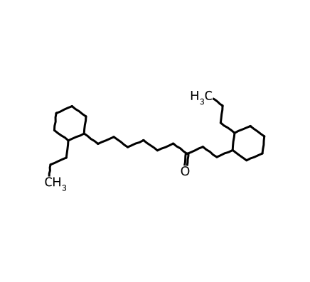 CCCC1CCCCC1CCCCCCC(=O)CCC1CCCCC1CCC